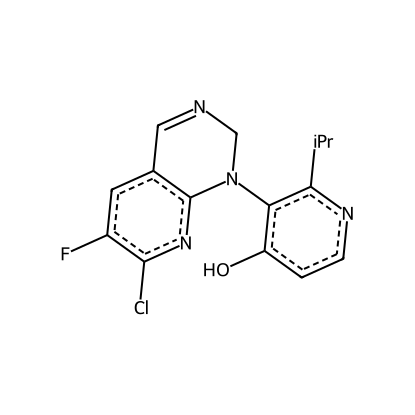 CC(C)c1nccc(O)c1N1CN=Cc2cc(F)c(Cl)nc21